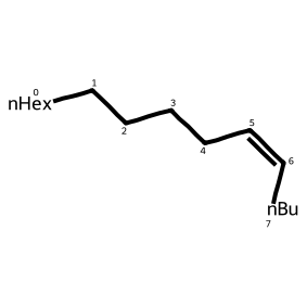 [CH2]CCCCCCCCC/C=C\CCCC